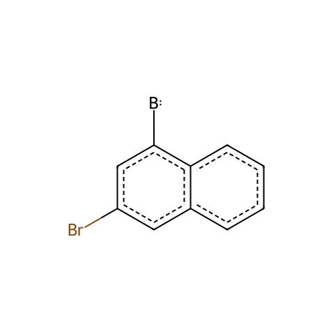 [B]c1cc(Br)cc2ccccc12